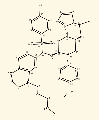 COCCCN1CCOc2ccc(C(O[C@H]3CN[C@@H](CC(C)n4cccn4)C[C@@H]3c3ccc(OC)cc3)S(=O)(=O)c3ccc(C)cc3)cc21